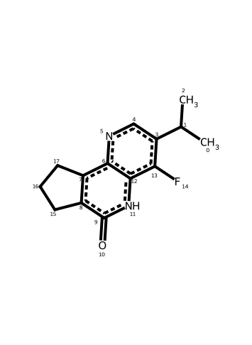 CC(C)c1cnc2c3c(c(=O)[nH]c2c1F)CCC3